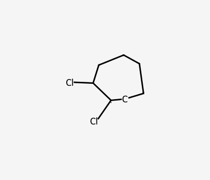 Cl[C]1CCCCCC1Cl